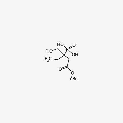 CCCCOC(=O)CC(CC(F)(F)F)(CC(F)(F)F)P(=O)(O)O